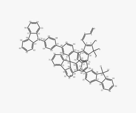 C=C/C=C\C1=C(C)C(C)(C)c2cc(N(c3ccc4c(c3)C(C)(C)c3ccccc3-4)c3cccc4c3C3(c5ccccc5Oc5ccc(-c6ccc(-n7c8ccccc8c8ccccc87)cc6)cc53)c3ccccc3-4)ccc21